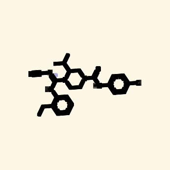 CCc1ccccc1N/C(=N\C#N)N1CCN(C(=O)Nc2ccc(Cl)cc2)CC1C(C)C